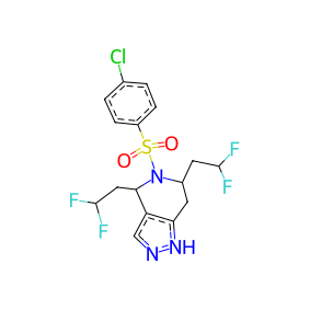 O=S(=O)(c1ccc(Cl)cc1)N1C(CC(F)F)Cc2[nH]ncc2C1CC(F)F